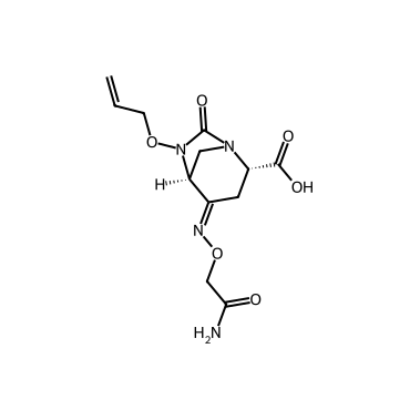 C=CCON1C(=O)N2C[C@H]1C(=NOCC(N)=O)C[C@H]2C(=O)O